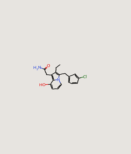 CCc1c(CC(N)=O)c2c(O)cccn2c1Cc1cccc(Cl)c1